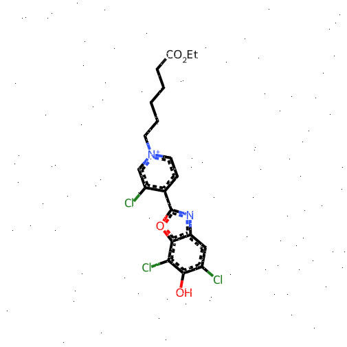 CCOC(=O)CCCCC[n+]1ccc(-c2nc3cc(Cl)c(O)c(Cl)c3o2)c(Cl)c1